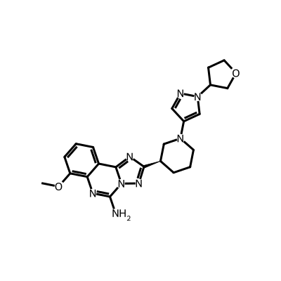 COc1cccc2c1nc(N)n1nc([C@@H]3CCCN(c4cnn(C5CCOC5)c4)C3)nc21